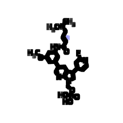 COc1cc(NC(=O)/C=C/CN(C)C)cc(-c2cnc3c(c2)c(-c2ccnc(F)c2)cn3COP(=O)(O)O)c1